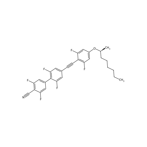 CCCCCC[C@H](C)Oc1cc(F)c(C#Cc2cc(F)c(-c3cc(F)c(C#N)c(F)c3)c(F)c2)c(F)c1